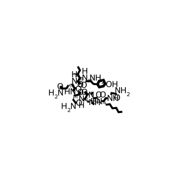 CCCCCC[C@H](NC(=O)CN(C)C(=O)[C@H](CNC)NC(=O)[C@H](CC(N)=O)NC(=O)[C@H](CCC(N)=O)NC(=O)[C@@H](NC(=O)[C@@H](N)Cc1ccc(O)cc1)[C@@H](C)CC)C(=O)NCC(N)=O